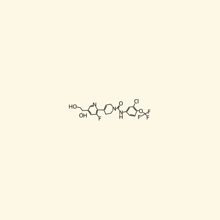 O=C(Nc1ccc(OC(F)(F)F)c(Cl)c1)N1CC=C(c2ncc([C@H](O)CO)cc2F)CC1